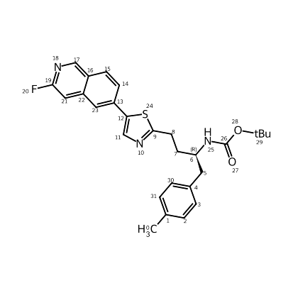 Cc1ccc(C[C@@H](CCc2ncc(-c3ccc4cnc(F)cc4c3)s2)NC(=O)OC(C)(C)C)cc1